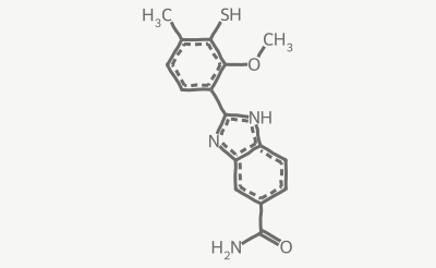 COc1c(-c2nc3cc(C(N)=O)ccc3[nH]2)ccc(C)c1S